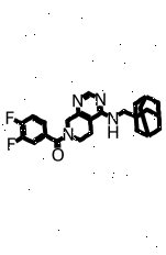 O=C(c1ccc(F)c(F)c1)N1CCc2c(ncnc2NCC23CC4CC(CC(C4)C2)C3)C1